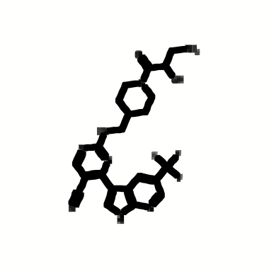 N#Cc1cnc(NCC2CCN(C(=O)C(O)CN)CC2)nc1-c1c[nH]c2ncc(C(F)(F)F)cc12